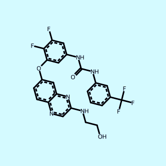 O=C(Nc1cccc(C(F)(F)F)c1)Nc1cc(F)c(F)c(Oc2ccc3ncc(NCCO)nc3c2)c1